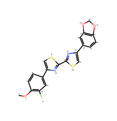 COc1ccc(-c2csc(-c3nc(-c4ccc5c(c4)OCO5)cs3)n2)cc1F